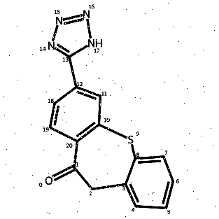 O=C1Cc2ccccc2Sc2cc(-c3nnn[nH]3)ccc21